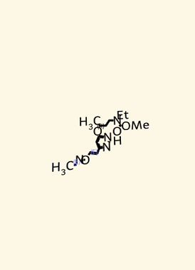 C/C=N/O/C=C/c1cc(O[C@H](C)CCN(CC)C(O)OC)ncn1